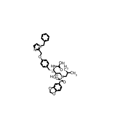 CC(C)CN(C[C@@H](O)[C@H](Cc1ccc(OCc2nccn2Cc2ccccc2)cc1)NC(=O)O)S(=O)(=O)c1ccc2c(c1)OCO2